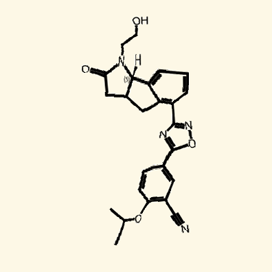 CC(C)Oc1ccc(-c2nc(-c3cccc4c3CC3CC(=O)N(CCO)[C@H]43)no2)cc1C#N